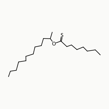 CCCCCCCCCCC(C)OC(=S)CCCCCCC